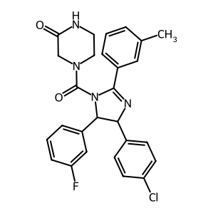 Cc1cccc(C2=NC(c3ccc(Cl)cc3)C(c3cccc(F)c3)N2C(=O)N2CCNC(=O)C2)c1